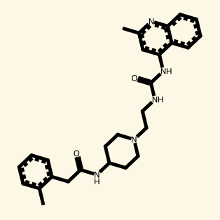 Cc1cc(NC(=O)NCCN2CCC(NC(=O)Cc3ccccc3C)CC2)c2ccccc2n1